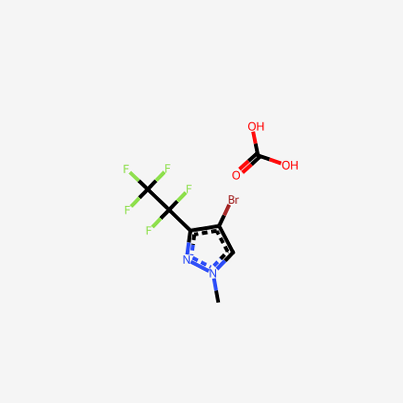 Cn1cc(Br)c(C(F)(F)C(F)(F)F)n1.O=C(O)O